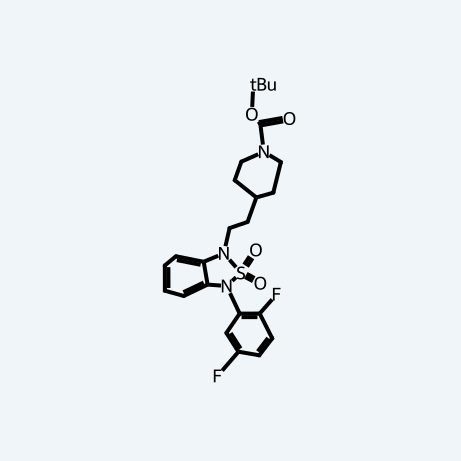 CC(C)(C)OC(=O)N1CCC(CCN2c3ccccc3N(c3cc(F)ccc3F)S2(=O)=O)CC1